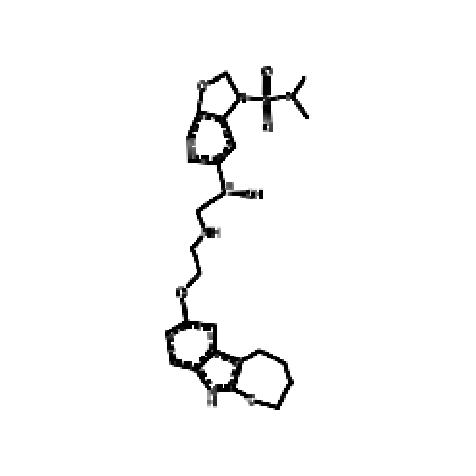 CN(C)S(=O)(=O)N1COc2ccc([C@@H](O)CNCCOc3ccc4[nH]c5c(c4c3)CCCCC5)cc21